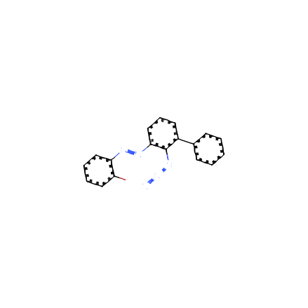 [N-]=[N+]=Nc1c(N=Nc2ccccc2Br)cccc1-c1ccccc1